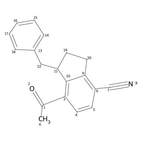 CC(=O)c1ccc(C#N)c2c1C(Cc1ccccc1)CC2